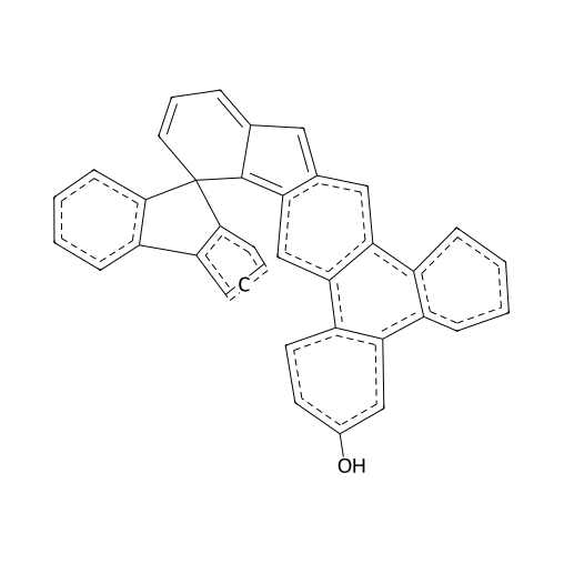 Oc1ccc2c(c1)c1ccccc1c1cc3c(cc21)=C1C(=CC=CC12c1ccccc1-c1ccccc12)C=3